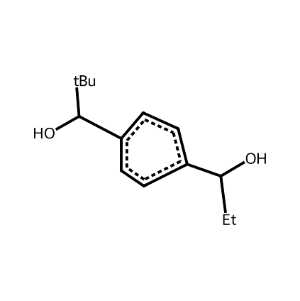 CCC(O)c1ccc(C(O)C(C)(C)C)cc1